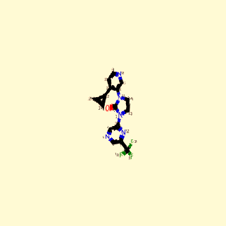 O=C1N(c2cncc(C(F)(F)F)n2)CCN1c1cnccc1C1CC1